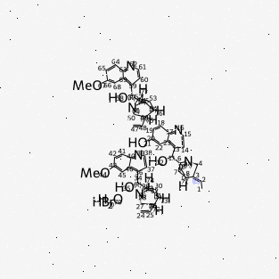 Br.C/C=C1/C[N@]2CC[C@H]1CC2C(O)c1ccnc2ccc(O)cc12.C=C[C@H]1C[N@]2CC[C@H]1C[C@H]2[C@H](O)c1ccnc2ccc(OC)cc12.C=C[C@H]1C[N@]2CC[C@H]1C[C@H]2[C@H](O)c1ccnc2ccc(OC)cc12.O